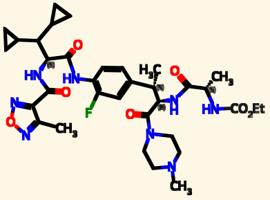 CCOC(=O)N[C@@H](C)C(=O)N[C@@H](C(=O)N1CCN(C)CC1)[C@@H](C)c1ccc(NC(=O)[C@@H](NC(=O)c2nonc2C)C(C2CC2)C2CC2)c(F)c1